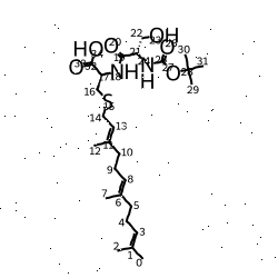 CC(C)=CCC/C(C)=C/CC/C(C)=C/CSC[C@H](NC(=O)[C@H](CO)NC(=O)OC(C)(C)C)C(=O)O